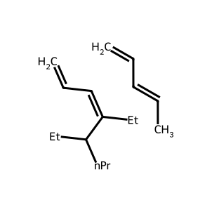 C=CC=C(CC)C(CC)CCC.C=CC=CC